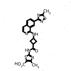 Cc1nc(-c2ccc3ccnc(NC4CC(C(=O)Nc5nc(C)c(C(=O)O)s5)C4)c3c2)no1